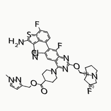 Cn1ccc(COC(=O)C2CCN(c3nc(OC[C@@]45CCCN4C[C@H](F)C5)nc4c(F)c(-c5ccc(F)c6sc(N)c(C#N)c56)c(Cl)cc34)CC2)n1